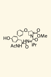 COC(=O)[C@@H]1CC(Oc2ccccc2)CN1C(=O)[C@@H](NC(=O)[C@H](Cc1ccc(O)cc1)NC(C)=O)C(C)C